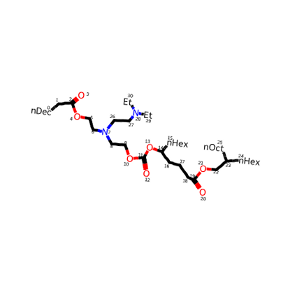 CCCCCCCCCCCC(=O)OCCN(CCOC(=O)OC(CCCCCC)CCCC(=O)OCC(CCCCCC)CCCCCCCC)CCN(CC)CC